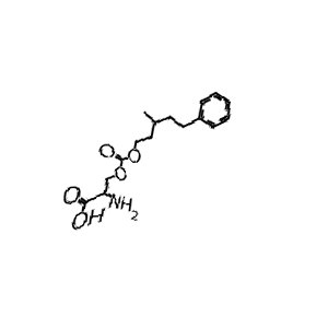 CC(CCOC(=O)OCC(N)C(=O)O)CCc1ccccc1